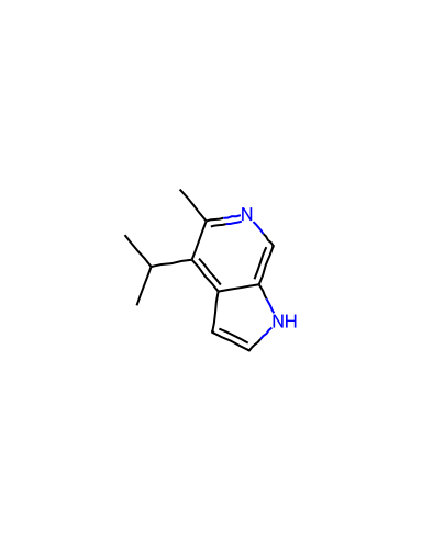 Cc1ncc2[nH]ccc2c1C(C)C